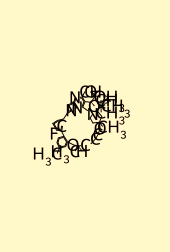 Cc1cc(F)c2c(c1)O[C@@H](C)CCCCOC1(C)CCN(CC1)c1c([C@H](OC(C)(C)C)C(=O)O)c(C)nc3cc(nn13)-c1cccc-2c1